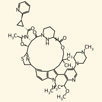 CCO[C@@H]1C2=NC(CS2)c2ccc3c(c2)c(c(-c2cc(N4CCN(C)CC4)cnc2[C@H](C)OC)n3CC)CC(C)(C)COC(=O)[C@@H]2CCCN(N2)C(=O)[C@H]1NC(=O)[C@@H]1C[C@H]1c1ccccn1